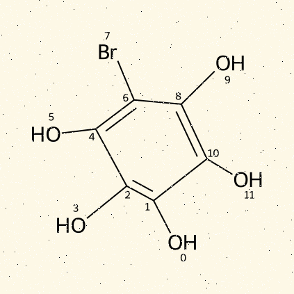 Oc1c(O)c(O)c(Br)c(O)c1O